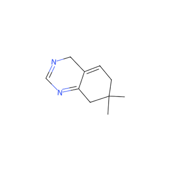 CC1(C)CC=C2CN=CN=C2C1